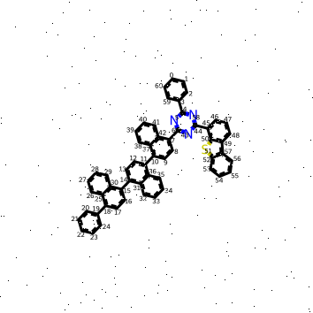 c1ccc(-c2nc(-c3ccc(-c4ccc(-c5ccc(-c6ccccc6)c6ccccc56)c5ccccc45)c4ccccc34)nc(-c3cccc4c3sc3ccccc34)n2)cc1